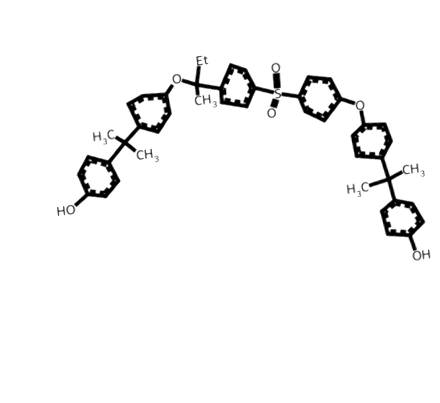 CCC(C)(Oc1ccc(C(C)(C)c2ccc(O)cc2)cc1)c1ccc(S(=O)(=O)c2ccc(Oc3ccc(C(C)(C)c4ccc(O)cc4)cc3)cc2)cc1